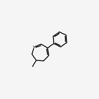 CC1CC=C(c2ccccc2)C=NC1